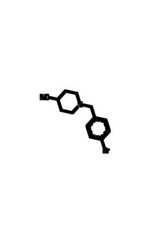 N#CC1CCN(Cc2ccc(Br)cc2)CC1